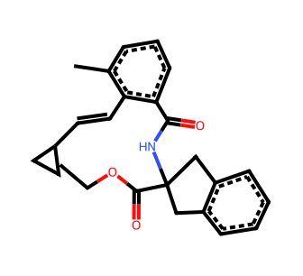 CCOC(=O)C1(NC(=O)c2cccc(C)c2C=CC2CC2)Cc2ccccc2C1